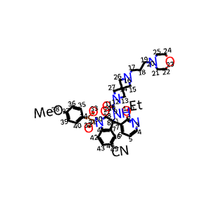 CCOc1ncccc1[C@]1(NC(=O)N2CC3(CN(CCCN4CCOCC4)C3)C2)C(=O)N(S(=O)(=O)c2ccc(OC)cc2)c2ccc(C#N)cc21